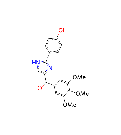 COc1cc(C(=O)c2c[nH]c(-c3ccc(O)cc3)n2)cc(OC)c1OC